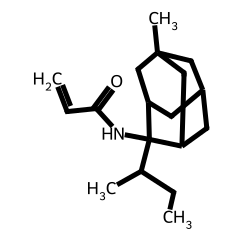 C=CC(=O)NC1(C(C)CC)C2CC3CC1CC(C)(C3)C2